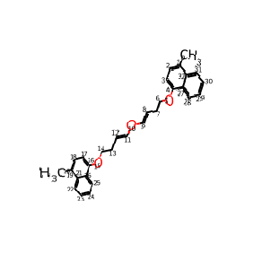 Cc1ccc(OCCC=COC=CCCOc2ccc(C)c3ccccc23)c2ccccc12